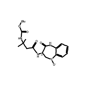 CC(C)(CC(=O)N[C@@H]1C[S+]([O-])c2ccccc2NC1=O)NC(=O)OC(C)(C)C